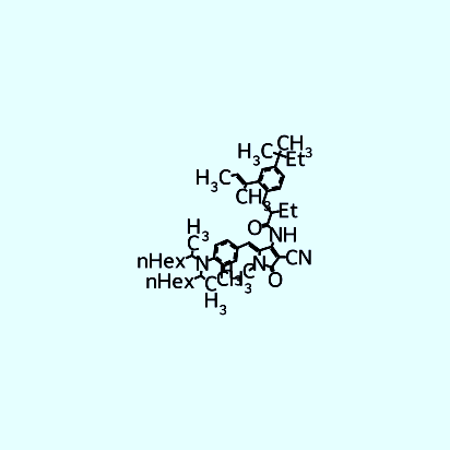 C/C=C(\C)c1cc(C(C)(C)CC)ccc1CC(CC)C(=O)NC1=C(C#N)C(=O)N(C)C1=Cc1ccc(N(C(C)CCCCCC)C(C)CCCCCC)c(C)c1